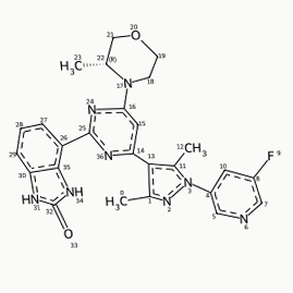 Cc1nn(-c2cncc(F)c2)c(C)c1-c1cc(N2CCOC[C@H]2C)nc(-c2cccc3[nH]c(=O)[nH]c23)n1